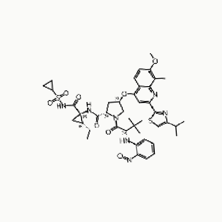 CC[C@@H]1C[C@]1(NC(=O)[C@@H]1C[C@@H](Oc2cc(-c3nc(C(C)C)cs3)nc3c(C)c(OC)ccc23)CN1C(=O)[C@@H](Nc1ccccc1N=O)C(C)(C)C)C(=O)NS(=O)(=O)C1CC1